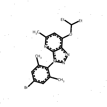 CCC(CC)Oc1cc(C)nc2c1nnn2-c1c(C)cc(Br)cc1C